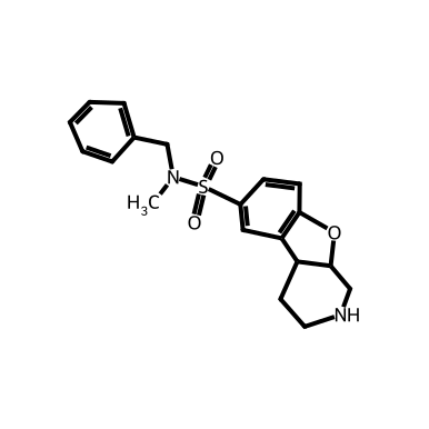 CN(Cc1ccccc1)S(=O)(=O)c1ccc2c(c1)C1CCNCC1O2